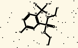 CCOP(=O)(OCC)c1cc(C)ccc1C(F)(F)F